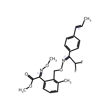 C/C=C/c1ccc(/C(=N/OCc2c(C)cccc2/C(=N\OC)C(=O)OC)C(F)F)cc1